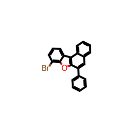 Brc1cccc2c1oc1c(-c3ccccc3)cc3ccccc3c12